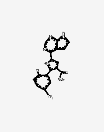 CNC(=O)c1cc(-c2ncnc3[nH]ccc23)[nH]c1-c1cc(C(F)(F)F)ccc1Cl